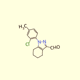 Cc1ccc(-n2nc(C=O)c3c2CCCC3)c(Cl)c1